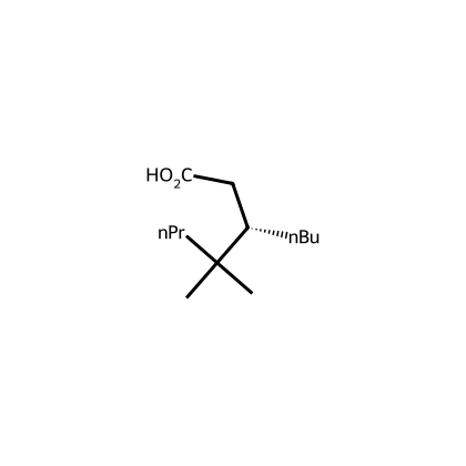 CCCC[C@@H](CC(=O)O)C(C)(C)CCC